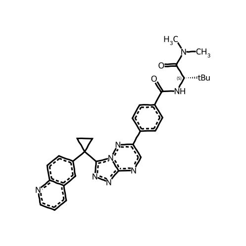 CN(C)C(=O)[C@@H](NC(=O)c1ccc(-c2cnc3nnc(C4(c5ccc6ncccc6c5)CC4)n3n2)cc1)C(C)(C)C